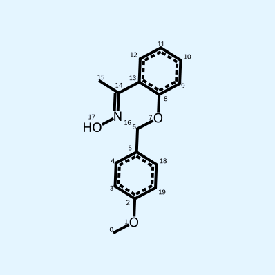 COc1ccc(COc2ccccc2C(C)=NO)cc1